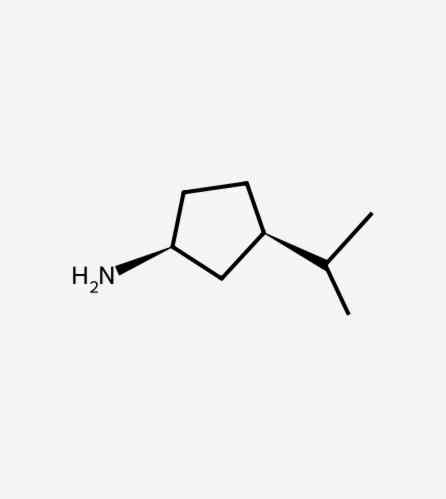 CC(C)[C@@H]1CC[C@H](N)C1